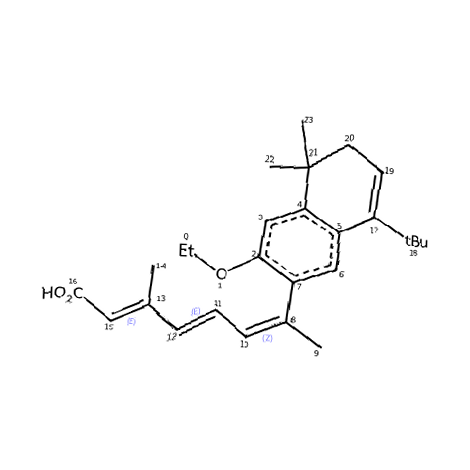 CCOc1cc2c(cc1\C(C)=C/C=C/C(C)=C/C(=O)O)C(C(C)(C)C)=CCC2(C)C